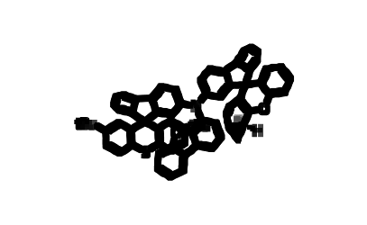 CC(C)(C)c1ccc2c(c1)C1(c3cc(C(C)(C)C)ccc3S2)c2ccccc2-c2ccc(N(c3ccc4c(c3)C3(C5=C(Oc6ccccc63)[C@H]3C=C3C=C5)c3ccccc3-4)c3cccc4c3oc3ccccc34)cc21